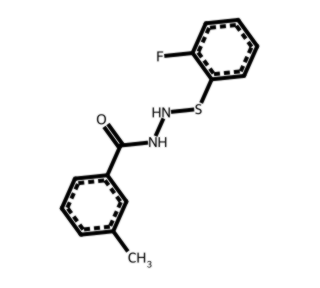 Cc1cccc(C(=O)NNSc2ccccc2F)c1